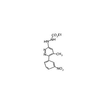 CCOC(=O)NNc1cc(C)c(-c2cccc([N+](=O)[O-])c2)nn1